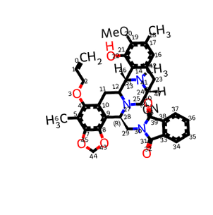 C=CCOc1c(C)c2c(c3c1CC1[C@@H]4c5c(cc(C)c(OC)c5O)C[C@H]([C@H](C#N)N1[C@H]3CN1C(=O)c3ccccc3C1=O)N4C)OCO2